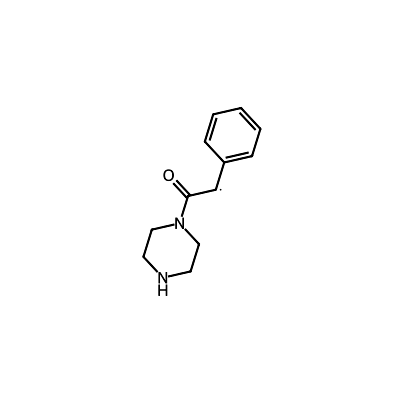 O=C([CH]c1ccccc1)N1CCNCC1